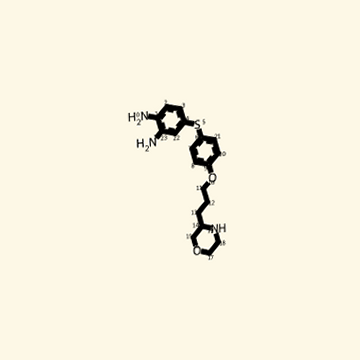 Nc1ccc(Sc2ccc(OCCCC3COCCN3)cc2)cc1N